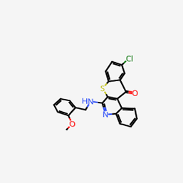 COc1ccccc1CNc1nc2ccccc2c2c(=O)c3cc(Cl)ccc3sc12